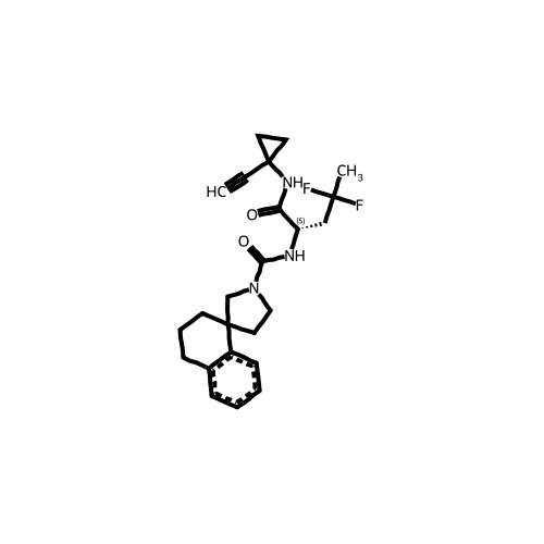 C#CC1(NC(=O)[C@H](CC(C)(F)F)NC(=O)N2CCC3(CCCc4ccccc43)C2)CC1